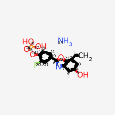 C=Cc1cc(O)cc2nc(-c3ccc(OP(=O)(O)O)c(F)c3)oc12.N